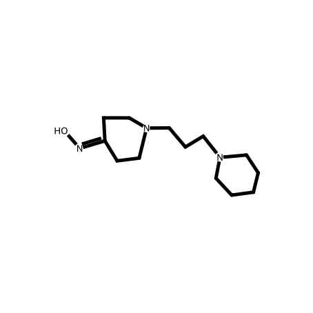 ON=C1CCN(CCCN2CCCCC2)CC1